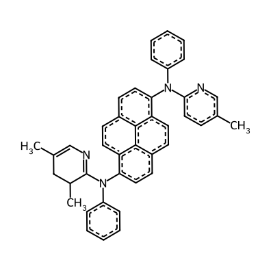 CC1=CN=C(N(c2ccccc2)c2ccc3ccc4c(N(c5ccccc5)c5ccc(C)cn5)ccc5ccc2c3c54)C(C)C1